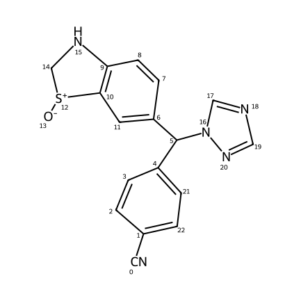 N#Cc1ccc(C(c2ccc3c(c2)[S+]([O-])CN3)n2cncn2)cc1